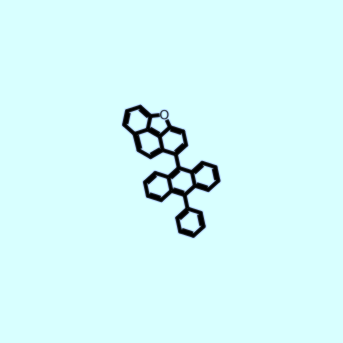 c1ccc(-c2c3ccccc3c(-c3ccc4oc5cccc6ccc3c4c65)c3ccccc23)cc1